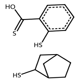 OC(=S)c1ccccc1S.SC1CC2CCC1C2